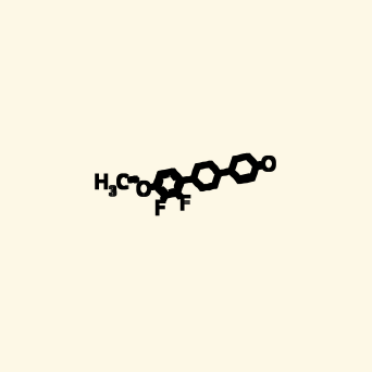 CCOc1ccc(C2CCC(C3C=CC(=O)CC3)CC2)c(F)c1F